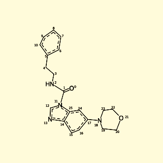 O=C(NCCc1ccccc1)n1cnc2ccc(N3CCOCC3)cc21